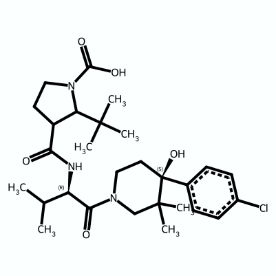 CC(C)[C@@H](NC(=O)C1CCN(C(=O)O)C1C(C)(C)C)C(=O)N1CC[C@](O)(c2ccc(Cl)cc2)C(C)(C)C1